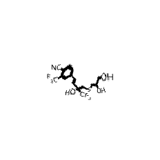 N#Cc1ccc(/C=C/C(O)(CSCC(O)CO)C(F)(F)F)cc1C(F)(F)F